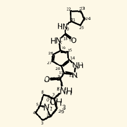 CN1C2CCC1CC(NC(=O)c1n[nH]c3cc(NC(=O)NC4CCCC4)ccc13)C2